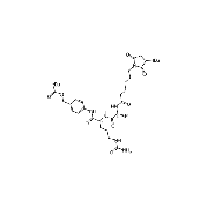 CC(C)[C@H](NC(=O)CCCCCN1C(=O)CC(C(C)(C)C)C1=O)C(=O)N[C@@H](CCCNC(N)=O)C(=O)Nc1ccc(COC(=O)C(C)(C)C)cc1